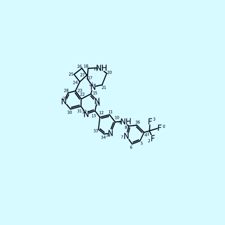 FC(F)(F)c1ccnc(Nc2cc(-c3nc(N4CCNCC4)c4c(C5CCC5)cncc4n3)ccn2)c1